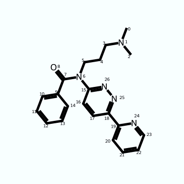 CN(C)CCCN(C(=O)c1ccccc1)c1ccc(-c2ccccn2)nn1